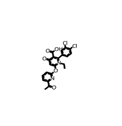 CCn1c(Oc2cccc(C(C)=O)n2)cc(=O)c(C(=O)O)c1-c1ccc(Cl)c(Cl)c1